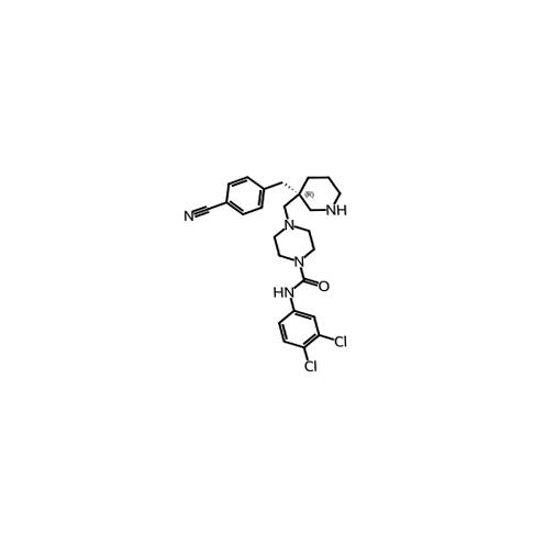 N#Cc1ccc(C[C@]2(CN3CCN(C(=O)Nc4ccc(Cl)c(Cl)c4)CC3)CCCNC2)cc1